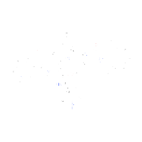 CCOc1cc(N2CCN(C(=O)N3CCc4cccc(C)c43)C[C@H]2CC)c(C(=O)N[C@@H]2CCNC2)nc1-c1cccnc1